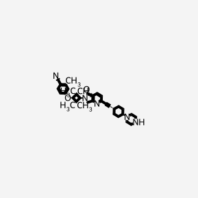 Cc1cc(O[C@H]2C(C)(C)[C@H](N3Cc4nc(C#C[C@H]5CC[C@H](N6CCNCC6)CC5)ccc4C3=O)C2(C)C)ccc1C#N